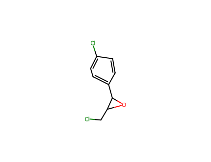 ClCC1OC1c1ccc(Cl)cc1